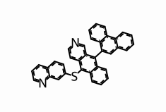 c1cnc2cc(Sc3c4ccccc4c(-c4cc5ccccc5c5ccccc45)c4cnccc34)ccc2c1